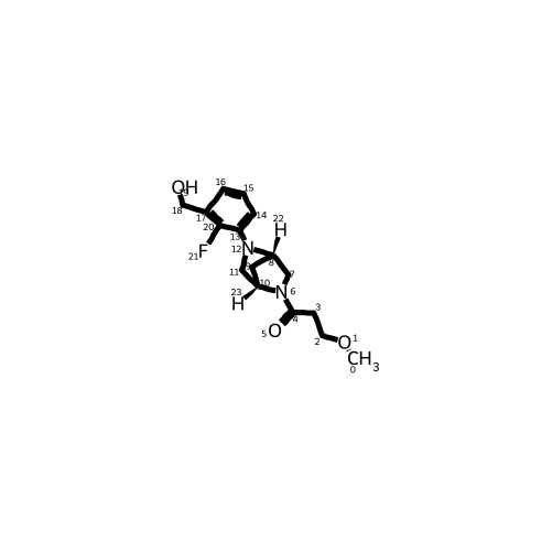 COCCC(=O)N1C[C@@H]2C[C@H]1CN2c1cccc(CO)c1F